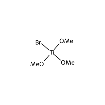 C[O][Ti]([Br])([O]C)[O]C